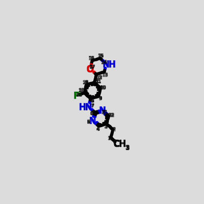 CCCc1cnc(Nc2ccc(C3CNCCO3)cc2F)nc1